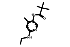 CCNc1cc(C)c(NC(=O)C(C)(C)C)cn1